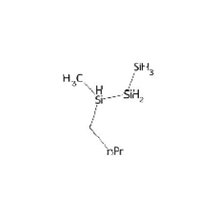 CCCC[SiH](C)[SiH2][SiH3]